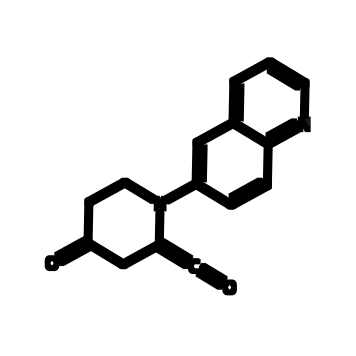 O=C=C1CC(=O)CCN1c1ccc2ncccc2c1